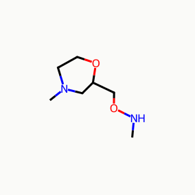 CNOCC1CN(C)CCO1